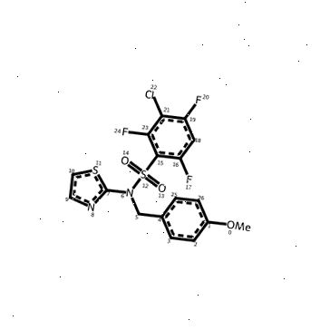 COc1ccc(CN(c2nccs2)S(=O)(=O)c2c(F)cc(F)c(Cl)c2F)cc1